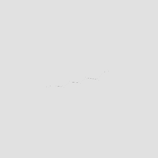 CCCCCCCCSSSSSCCCCCCCC